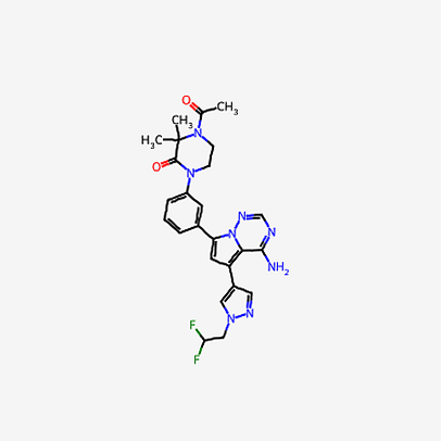 CC(=O)N1CCN(c2cccc(-c3cc(-c4cnn(CC(F)F)c4)c4c(N)ncnn34)c2)C(=O)C1(C)C